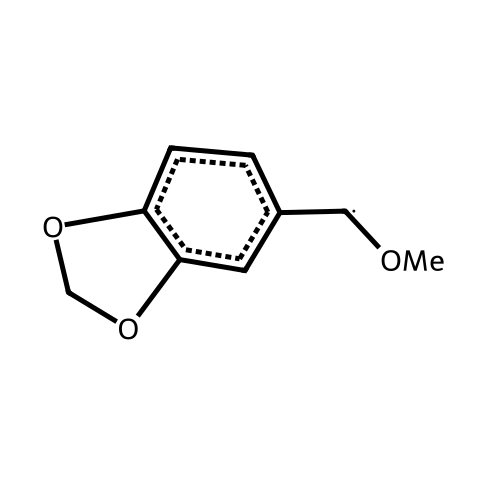 CO[CH]c1ccc2c(c1)OCO2